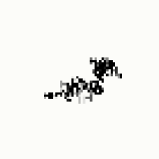 CN1CCC[C@@]1(C)c1nnc2ccc(O[C@@H]3CC[C@H](NC(=O)Nc4cc(C(C)(C)C)nc(C(=O)NCCO)n4)c4ccccc43)cn12